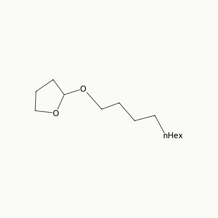 CCCCCCCCCCOC1CCCO1